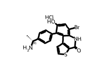 C[C@@H](N)c1ccc(-c2c(O)cc(Br)c3[nH]c(=O)c4sccc4c23)cc1.Cl